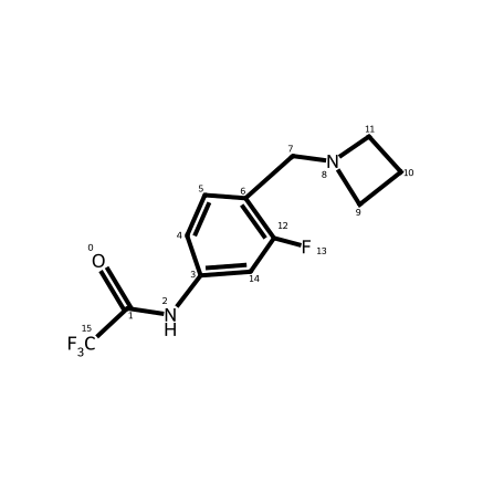 O=C(Nc1ccc(CN2CCC2)c(F)c1)C(F)(F)F